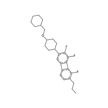 CCCc1ccc2c(c1F)-c1c-2cc(C2CCC(OCC3CCCCC3)CC2)c(F)c1F